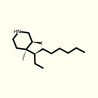 CCCCCC[C@@H](CC)[C@@]1(I)CCNC[C@H]1I